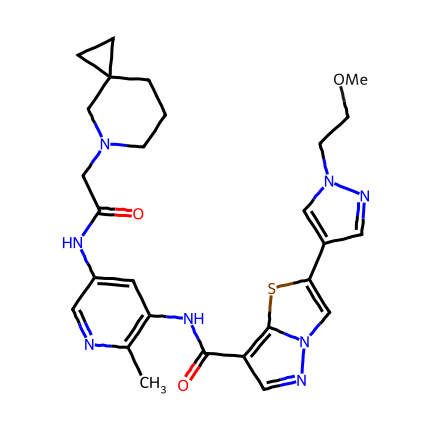 COCCn1cc(-c2cn3ncc(C(=O)Nc4cc(NC(=O)CN5CCCC6(CC6)C5)cnc4C)c3s2)cn1